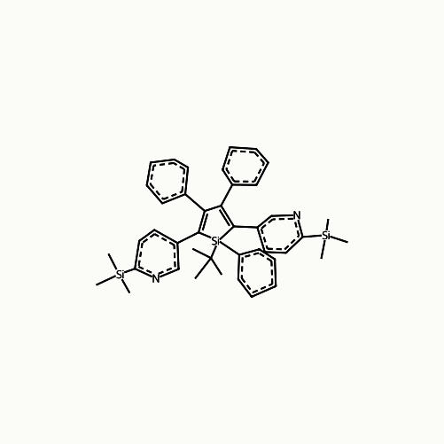 CC(C)(C)[Si]1(c2ccccc2)C(c2ccc([Si](C)(C)C)nc2)=C(c2ccccc2)C(c2ccccc2)=C1c1ccc([Si](C)(C)C)nc1